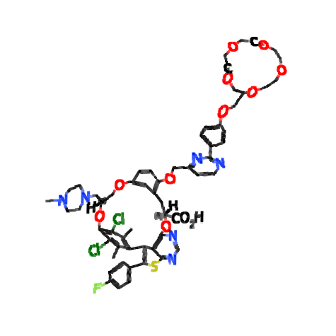 Cc1c(Cl)c2c(Cl)c(C)c1-c1c(-c3ccc(F)cc3)sc3ncnc(c13)O[C@@H](C(=O)O)Cc1cc(ccc1OCc1ccnc(-c3ccc(OCC4COCCOCCOCCOCCO4)cc3)n1)OC[C@@H](CN1CCN(C)CC1)O2